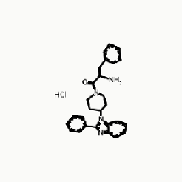 Cl.NC(Cc1ccccc1)C(=O)N1CCC(n2c(-c3ccccc3)nc3ccccc32)CC1